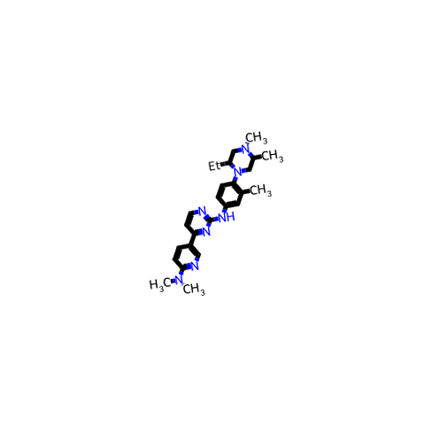 CCC1CN(C)C(C)CN1c1ccc(Nc2nccc(-c3ccc(N(C)C)nc3)n2)cc1C